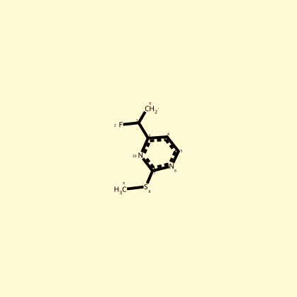 [CH2]C(F)c1ccnc(SC)n1